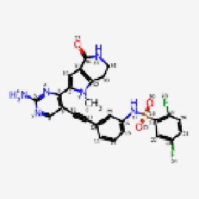 Cn1c(-c2nc(N)ncc2C#Cc2cccc(NS(=O)(=O)c3cc(F)ccc3F)c2)cc2c1CCNC2=O